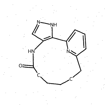 O=C1CCCCCc2cccc(n2)-c2[nH]ncc2N1